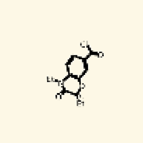 CC[C@H]1Oc2cc(C(=O)Cl)ccc2N(CC)C1=O